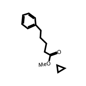 C1CC1.COC(=O)CCCCc1ccccc1